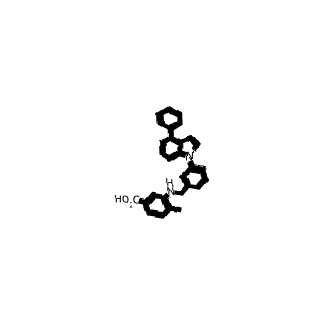 Cc1ccc(C(=O)O)cc1NCc1cccc(-n2ccc3c(-c4ccccc4)cccc32)c1